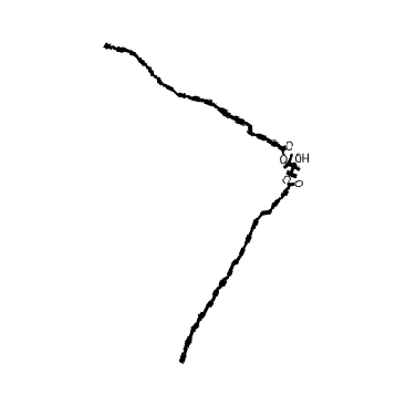 C#CC#CC#CC#CC#CC#CC#CC#CC#CC#CC#CC#C/C=C/C#CC#CC(=O)OC(C)(C)C(C)(O)C(C)(C)OC(=O)C#CC#C/C=C/C#CC#CC#CC#CC#CC#CC#CC#CC#CC#CC#CC#C